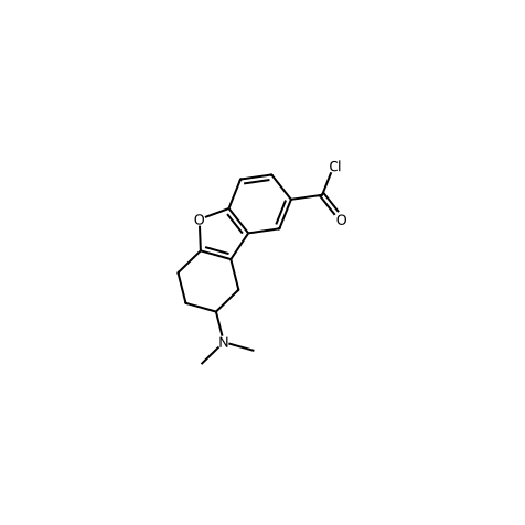 CN(C)C1CCc2oc3ccc(C(=O)Cl)cc3c2C1